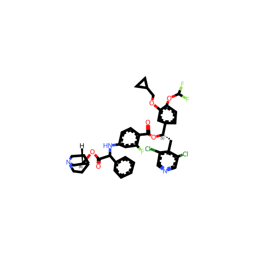 O=C(O[C@@H](Cc1c(Cl)cncc1Cl)c1ccc(OC(F)F)c(OCC2CC2)c1)c1ccc(NC(C(=O)O[C@H]2CN3CCC2CC3)c2ccccc2)cc1F